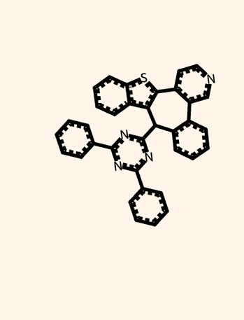 c1ccc(-c2nc(-c3ccccc3)nc(C3c4ccccc4-c4cnccc4-c4sc5ccccc5c43)n2)cc1